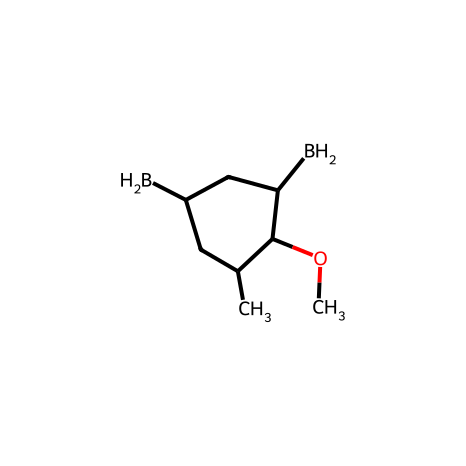 BC1CC(B)C(OC)C(C)C1